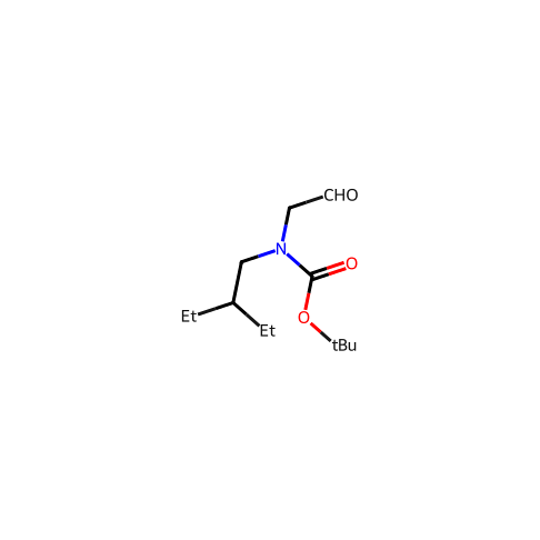 CCC(CC)CN(CC=O)C(=O)OC(C)(C)C